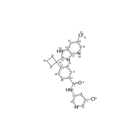 O=C(Nc1cncc(Cl)c1)c1ccc(C2(c3nc4ncc(C(F)(F)F)cc4[nH]3)CCC2)cc1